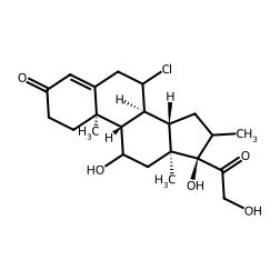 CC1C[C@H]2[C@@H]3C(Cl)CC4=CC(=O)CC[C@]4(C)[C@H]3C(O)C[C@]2(C)[C@@]1(O)C(=O)CO